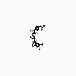 CCNCc1ccc(NC(=O)Cn2cc(Oc3ncnc4cc(OC)c(OC)cc34)cn2)cc1